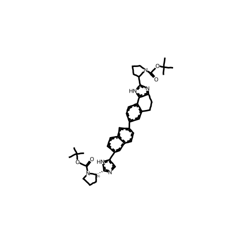 CC(C)(C)OC(=O)N1CCCC1c1nc2c([nH]1)-c1ccc(-c3ccc4cc(-c5cnc([C@@H]6CCCN6C(=O)OC(C)(C)C)[nH]5)ccc4c3)cc1CC2